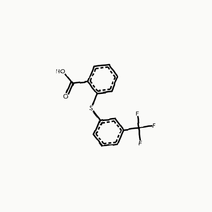 O=C(O)c1ccccc1Sc1cccc(C(F)(F)F)c1